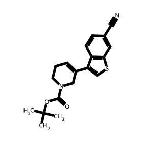 CC(C)(C)OC(=O)N1CCC=C(c2csc3cc(C#N)ccc23)C1